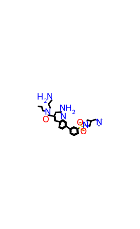 CCCN(CCCN)C(=O)C1=Cc2ccc(-c3cccc(S(=O)(=O)N4CC(CN(C)C)C4)c3)cc2N=C(N)C1